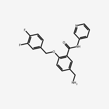 NCc1ccc(OCc2ccc(F)c(F)c2)c(C(=O)Nc2cccnc2)c1